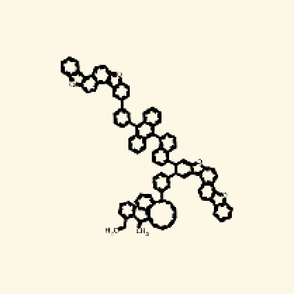 C=Cc1ccccc1C(=C)c1ccccccc(-c2cccc(C3C=c4c(oc5ccc6c(ccc7c8ccccc8oc76)c45)=CC3c3cccc4c(-c5c6ccccc6c(-c6cccc(-c7ccc8oc9ccc%10c(ccc%11oc%12ccccc%12c%11%10)c9c8c7)c6)c6ccccc56)cccc34)c2)c2ccccc12